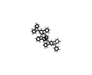 C1=CC2c3cc4c(cc3N(c3ccccc3)C2C=C1)c1ccccc1n4-c1ccc(-n2c3ccccc3c3cc(-n4c5ccccc5c5ccccc54)cc(-n4c5ccccc5c5ccccc54)c32)cc1